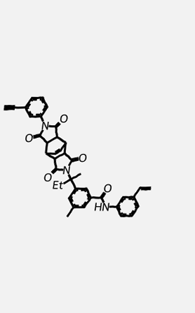 C#Cc1cccc(N2C(=O)C3C4C=CC(C3C2=O)C2C(=O)N(C(C)(CC)c3cc(C)cc(C(=O)Nc5cccc(C=C)c5)c3)C(=O)C42)c1